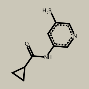 Bc1cncc(NC(=O)C2CC2)c1